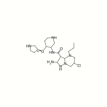 CCCN1CC(Cl)CN2NC(N)C(C(=O)NC3CNCCC3O[C@H]3CCNC3)C12